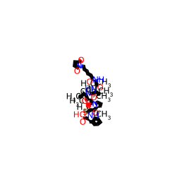 CC[C@H](C)[C@@H]([C@@H](CC(=O)N1CCC[C@H]1[C@H](OC)[C@@H](C)C(=S)N[C@@H](Cc1ccccc1)C(=O)O)OC)N(C)C(=O)[C@@H](NC(=O)C(C)(C)NC(=O)CCCCCN1C(=O)C=CC1=O)C(C)C